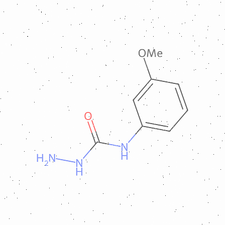 COc1cccc(NC(=O)NN)c1